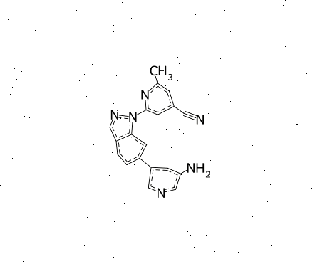 Cc1cc(C#N)cc(-n2ncc3ccc(-c4cncc(N)c4)cc32)n1